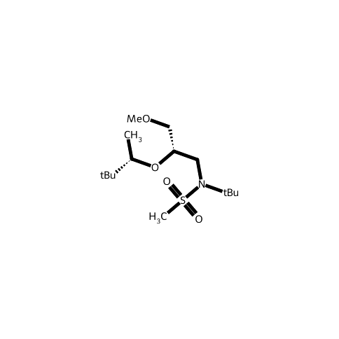 COC[C@H](CN(C(C)(C)C)S(C)(=O)=O)O[C@@H](C)C(C)(C)C